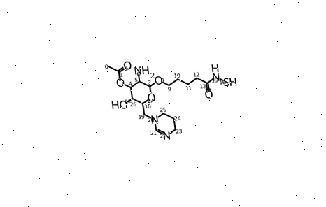 CC(=O)OC1C(N)C(OCCCCC(=O)NS)OC(CN2C=NCCC2)C1O